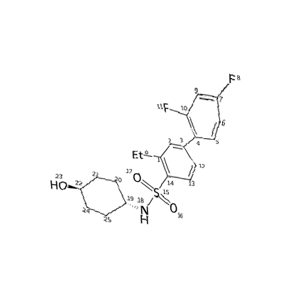 CCc1cc(-c2ccc(F)cc2F)ccc1S(=O)(=O)N[C@H]1CC[C@H](O)CC1